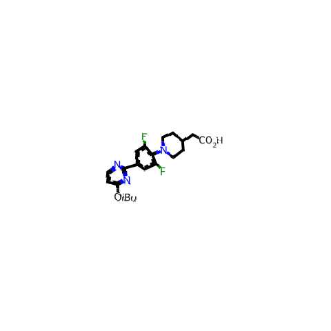 CC(C)COc1ccnc(-c2cc(F)c(N3CCC(CC(=O)O)CC3)c(F)c2)n1